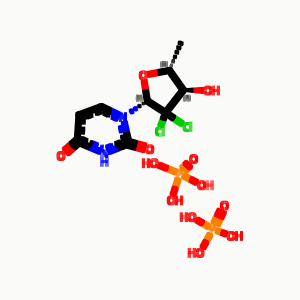 C[C@H]1O[C@@H](n2ccc(=O)[nH]c2=O)C(Cl)(Cl)[C@@H]1O.O=P(O)(O)O.O=P(O)(O)O